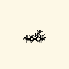 Nc1nc2n(n1)C(C(F)(F)F)CCC2c1ccc(C(F)(F)F)cc1